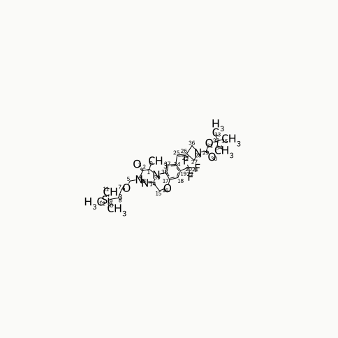 CC1C(=O)N(COCC[Si](C)(C)C)N=C2COc3cc(C(F)(F)F)c(C=C4CN(C(=O)OC(C)(C)C)C4)cc3N21